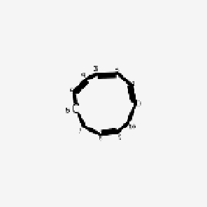 [C]1=C/C=C\C=C/CC/C=C\C\1